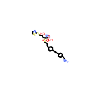 NCc1ccc(C#Cc2ccc(C=CCS(=O)(=O)C(N)(CC(O)CSc3nccs3)C(=O)O)cc2)cc1